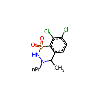 CCCN1NS(=O)(=O)c2c(ccc(Cl)c2Cl)C1C